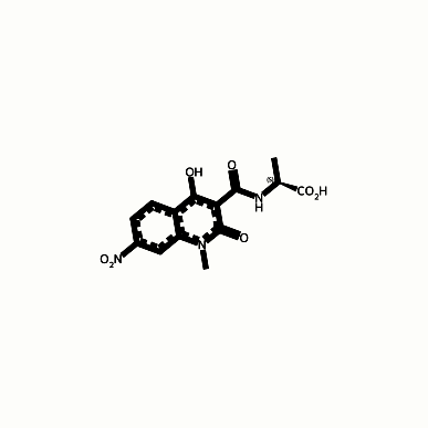 C[C@H](NC(=O)c1c(O)c2ccc([N+](=O)[O-])cc2n(C)c1=O)C(=O)O